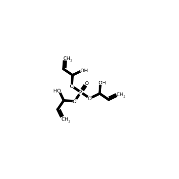 C=CC(O)OP(=O)(OC(O)C=C)OC(O)C=C